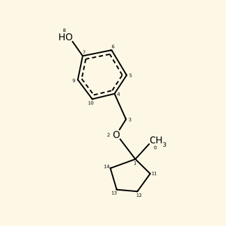 CC1(OCc2ccc(O)cc2)CCCC1